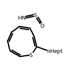 CCCCCCCc1cccccccs1.N=S=O